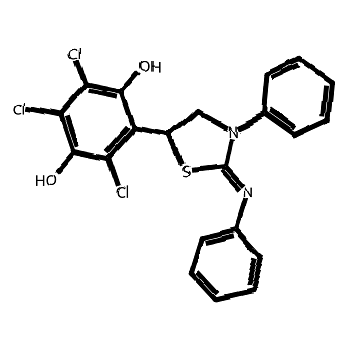 Oc1c(Cl)c(Cl)c(O)c(C2CN(c3ccccc3)C(=Nc3ccccc3)S2)c1Cl